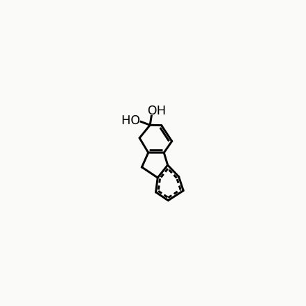 OC1(O)C=CC2=C(Cc3ccccc32)C1